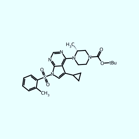 Cc1ccccc1S(=O)(=O)n1cc(C2CC2)c2c(N3CCN(C(=O)OC(C)(C)C)C[C@H]3C)ncnc21